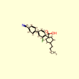 CCCC1CCC(C(=O)O)(c2ccc(-c3ccc(C#N)cc3)cc2F)CC1